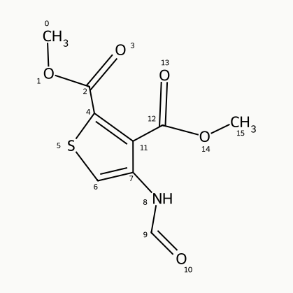 COC(=O)c1scc(NC=O)c1C(=O)OC